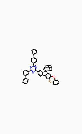 c1ccc(-c2ccc(-c3nc(-c4cccc(-c5ccccc5)c4)nc(-c4ccc5c(c4)C4(c6cc7c(cc6-5)Sc5ccccc5O7)C5CC6CC(C5)CC4C6)n3)cc2)cc1